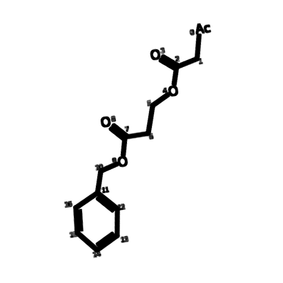 CC(=O)CC(=O)OCCC(=O)OCc1ccccc1